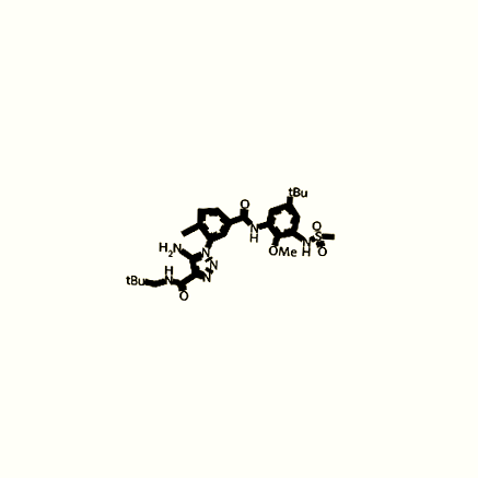 COc1c(NC(=O)c2ccc(C)c(-n3nnc(C(=O)NCC(C)(C)C)c3N)c2)cc(C(C)(C)C)cc1NS(C)(=O)=O